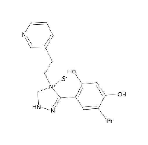 CC(C)c1cc(C2=NNC[N+]2([S-])CCc2cccnc2)c(O)cc1O